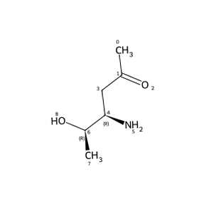 CC(=O)C[C@@H](N)[C@@H](C)O